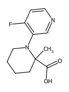 CC1(C(=O)O)CCCCN1c1[c]nccc1F